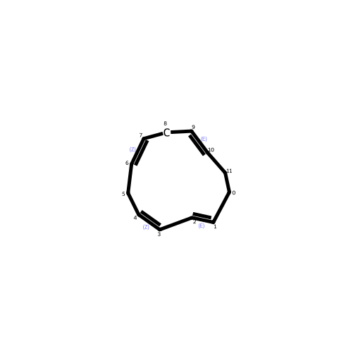 [CH]1/C=C/C=C\C/C=C\C/C=C/C1